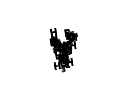 CC[C@H](CNC(=O)c1cc(F)c(-c2cn[nH]c2)nc1NCCc1cccc(F)c1)C(=O)O